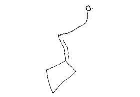 [O]CC=C1CCC1